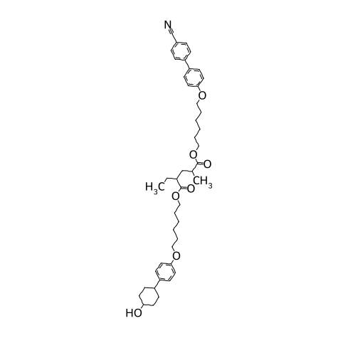 CCC(CC(C)C(=O)OCCCCCCOc1ccc(-c2ccc(C#N)cc2)cc1)C(=O)OCCCCCCOc1ccc(C2CCC(O)CC2)cc1